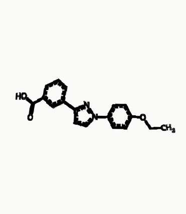 CCOc1ccc(-n2ccc(-c3cccc(C(=O)O)c3)n2)cc1